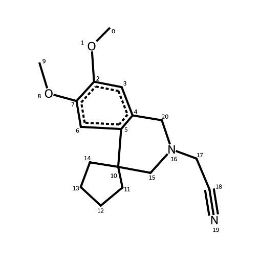 COc1cc2c(cc1OC)C1(CCCC1)CN(CC#N)C2